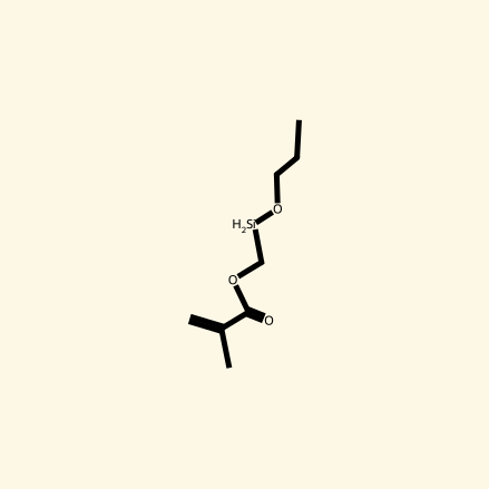 C=C(C)C(=O)OC[SiH2]OCCC